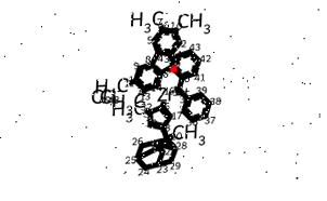 Cc1cc2c(cc1C)-c1cc(C)c(C)[c]([Zr+2]([C]3=CC(C4(C)C5CC6CC(C5)CC4C6)=CC3C)=[C](c3ccccc3)c3ccccc3)c1C2.[Cl-].[Cl-]